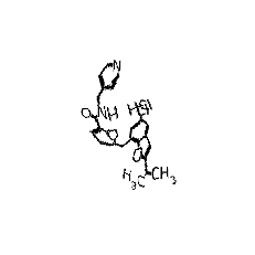 CC(C)c1cc2cc(Cl)cc(Cc3ccc(C(=O)NCc4ccncc4)o3)c2o1.Cl